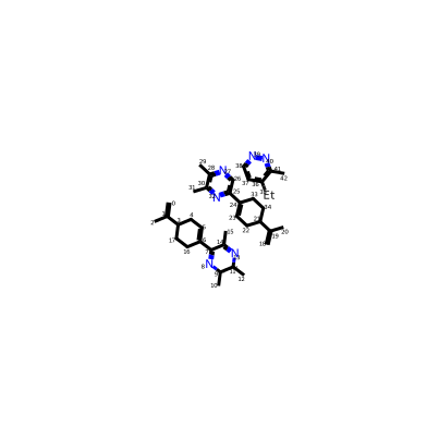 C=C(C)C1CC=C(C2=N[C](C)[C](C)N=C2C)CC1.C=C(C)C1CC=C(c2cnc(C)c(C)n2)CC1.CCc1ccnnc1C